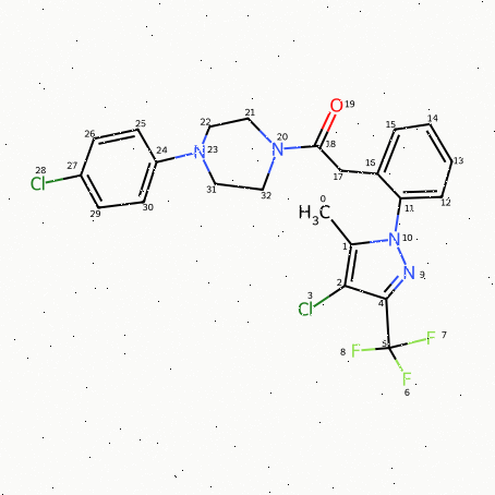 Cc1c(Cl)c(C(F)(F)F)nn1-c1ccccc1CC(=O)N1CCN(c2ccc(Cl)cc2)CC1